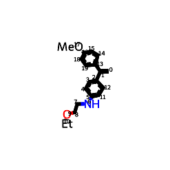 C=C(c1ccc(NCCOCC)cc1)c1ccc(OC)cc1